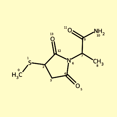 CSC1CC(=O)N(C(C)C(N)=O)C1=O